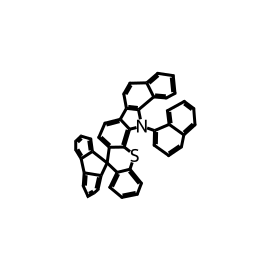 c1ccc2c(c1)Sc1c(ccc3c4ccc5ccccc5c4n(-c4cccc5ccccc45)c13)C21c2ccccc2-c2ccccc21